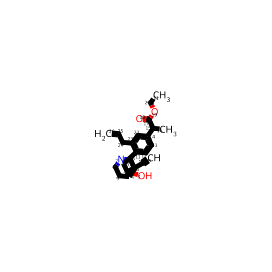 C#CC1(O)C2CCN(CC2)C1c1ccc(C(C)C(=O)OCC)cc1CC=C